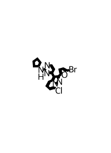 Clc1cccc2c(-c3ccnc(NC4CCCC4)n3)c(-c3ccc(Br)o3)nn12